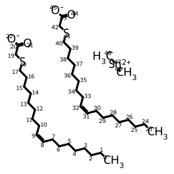 CCCCCCCC/C=C\CCCCCCCCSCC(=O)[O-].CCCCCCCC/C=C\CCCCCCCCSCC(=O)[O-].[CH3][Sn+2][CH3]